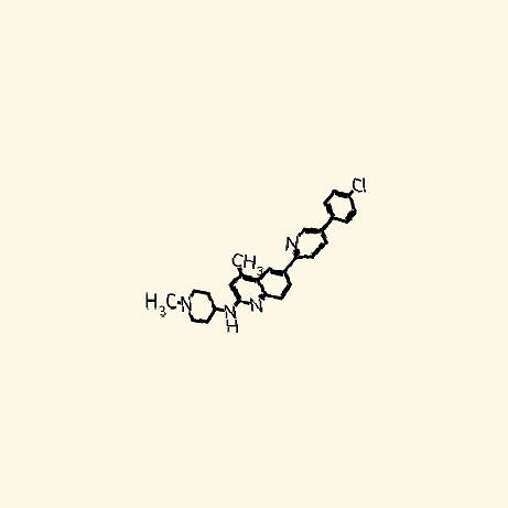 Cc1cc(NC2CCN(C)CC2)nc2ccc(-c3ccc(-c4ccc(Cl)cc4)cn3)cc12